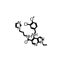 CCn1ncc2c(NCc3ccc(OC)c(Cl)c3)c(C(=O)NCCCn3ccnc3)cnc21